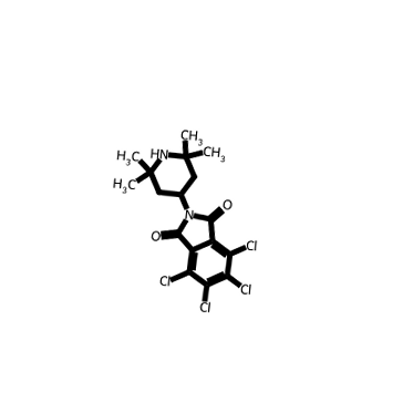 CC1(C)CC(N2C(=O)c3c(Cl)c(Cl)c(Cl)c(Cl)c3C2=O)CC(C)(C)N1